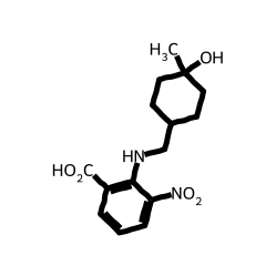 CC1(O)CCC(CNc2c(C(=O)O)cccc2[N+](=O)[O-])CC1